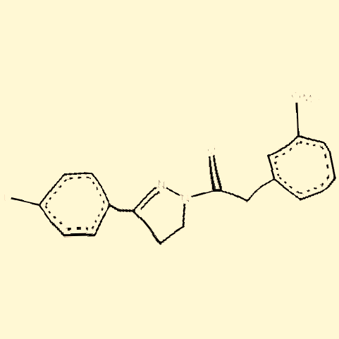 COc1cccc(CC(=O)N2CCC(c3ccc(F)cc3)=N2)c1